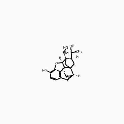 CC(C)(C)[C@@](C)(O)[C@H]1CC23CC[C@]1(CO)[C@@H]1Oc4c(O)ccc5c4[C@@]12CCN[C@@H]3C5